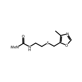 CNC(=O)NCCSCc1ocnc1C